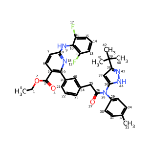 CCOC(=O)c1ccc(Nc2c(F)cccc2F)nc1-c1cccc(CC(=O)N(c2ccc(C)cc2)c2cc(C(C)(C)C)n[nH]2)c1